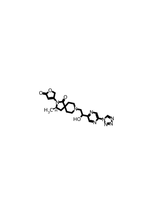 C[C@@H]1CC2(CCN(CC(O)c3cnc(-n4cnnn4)cn3)CC2)C(=O)N1C1=CC(=O)OC1